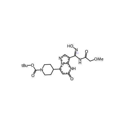 COCC(=O)N/C(=N/O)c1cnn2c(C3CCN(C(=O)OC(C)(C)C)CC3)cc(=O)[nH]c12